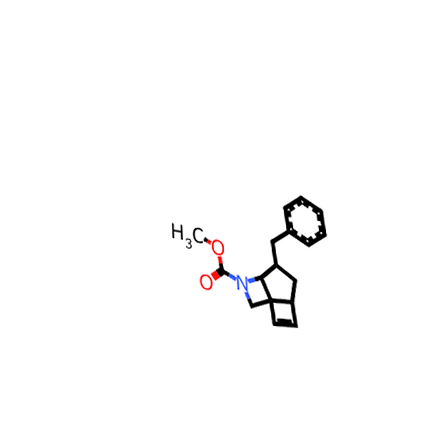 COC(=O)N1CC23C=CC2CC(Cc2ccccc2)C13